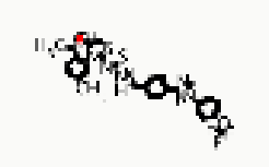 Cc1ccc(C(C)C)c(N2C(=S)CS/C2=N\C(=S)N/N=C/c2ccc(-c3ncn(-c4ccc(OC(F)(F)F)cc4)n3)cc2)c1